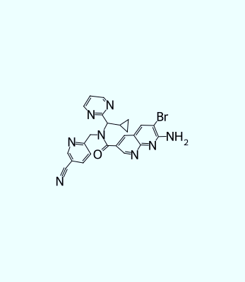 N#Cc1ccc(CN(C(=O)c2cnc3nc(N)c(Br)cc3c2)C(c2ncccn2)C2CC2)nc1